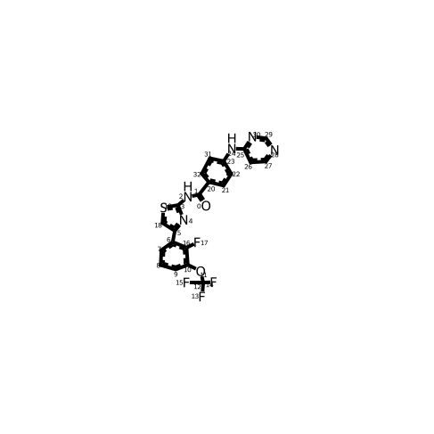 O=C(Nc1nc(-c2cccc(OC(F)(F)F)c2F)cs1)c1ccc(Nc2ccncn2)cc1